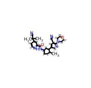 CC1CCC(NC(=O)c2cc(C(C)(C)C#N)ccn2)CC1c1cnc(N2CCOCC2)c(C#N)c1